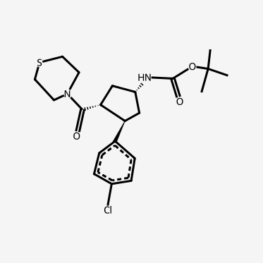 CC(C)(C)OC(=O)N[C@H]1C[C@@H](C(=O)N2CCSCC2)[C@H](c2ccc(Cl)cc2)C1